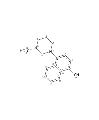 N#Cc1ccc(N2CCC[C@@H](C(=O)O)C2)c2ccccc12